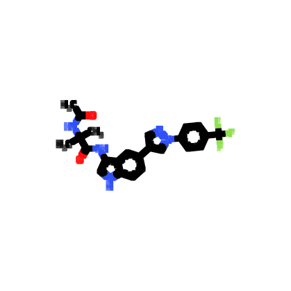 CC(=O)NC(C)(C)C(=O)Nc1c[nH]c2ccc(-c3cnn(-c4ccc(C(F)(F)F)cc4)c3)cc12